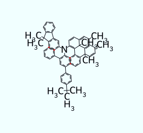 CC1C=CC2(C)C3=C1C(C)C=C1C=CC(N(c4ccc5c(c4)-c4ccccc4C5(C)C)c4ccc(-c5ccc(C(C)(C)C)cc5)cc4-c4ccccc4)=C(c4ccccc42)C13C